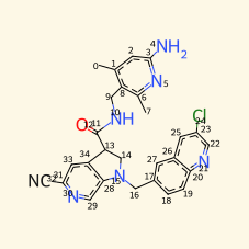 Cc1cc(N)nc(C)c1CNC(=O)C1CN(Cc2ccc3ncc(Cl)cc3c2)c2cnc(C#N)cc21